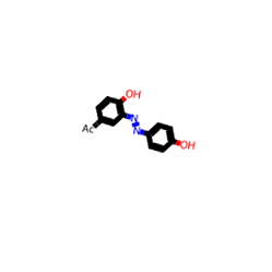 CC(=O)c1ccc(O)c(N=Nc2ccc(O)cc2)c1